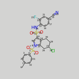 Cc1ccc(S(=O)(=O)n2cc(S(=O)(=O)Nc3ccc(C#N)cc3F)c3c2CC(Cl)CC3)cc1